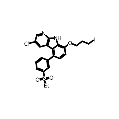 CCS(=O)(=O)c1cccc(-c2ccc(OCCCI)c3[nH]c4ncc(Cl)cc4c23)c1